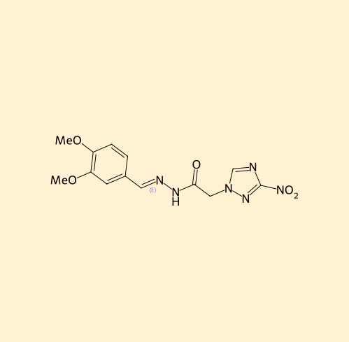 COc1ccc(/C=N/NC(=O)Cn2cnc([N+](=O)[O-])n2)cc1OC